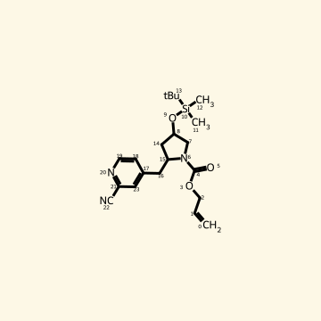 C=CCOC(=O)N1CC(O[Si](C)(C)C(C)(C)C)CC1Cc1ccnc(C#N)c1